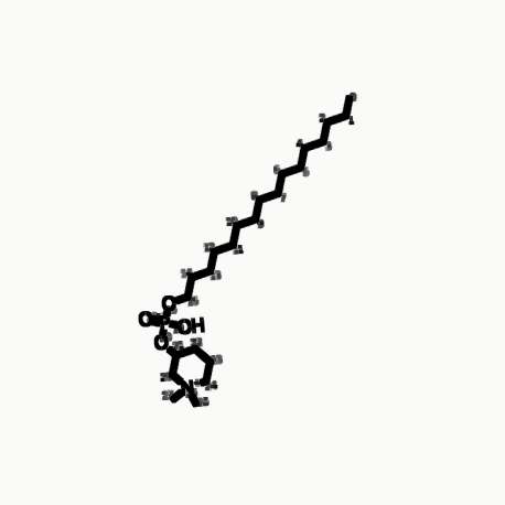 CCCCCCCCCCCCCCCCOP(=O)(O)OC1CCC[N+](C)(C)C1